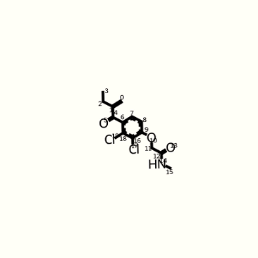 C=C(CC)C(=O)c1ccc(OCC(=O)NC)c(Cl)c1Cl